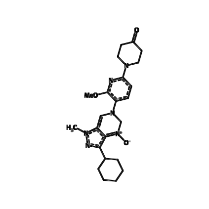 COc1nc(N2CCC(=O)CC2)ccc1N1C=c2c(c(C3CCCCC3)nn2C)=[N+]([O-])C1